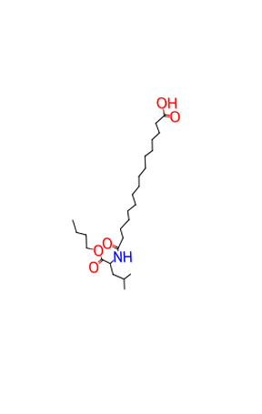 CCCCOC(=O)C(CC(C)C)NC(=O)CCCCCCCCCCCCCCC(=O)O